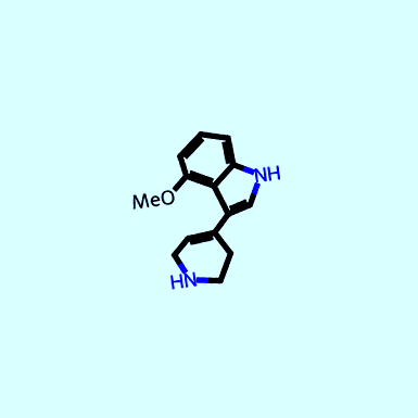 COc1cccc2[nH]cc(C3=CCNCC3)c12